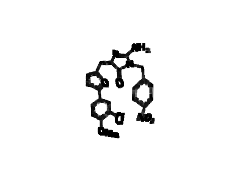 COc1ccc(-c2ccc(C=C3N=C(N)N(Cc4ccc([N+](=O)[O-])cc4)C3=O)o2)cc1Cl